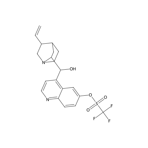 C=CC1CN2CCC1CC2C(O)c1ccnc2ccc(OS(=O)(=O)C(F)(F)F)cc12